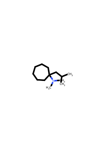 CC(C)CC1(N(C)C)CCCCCC1